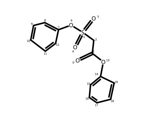 O=C(CS(=O)(=O)Oc1ccccc1)Oc1ccccc1